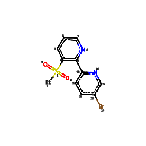 CCS(=O)(=O)c1cccnc1-c1ccc(Br)cn1